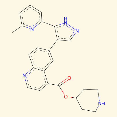 Cc1cccc(-c2[nH]ncc2-c2ccc3nccc(C(=O)OC4CCNCC4)c3c2)n1